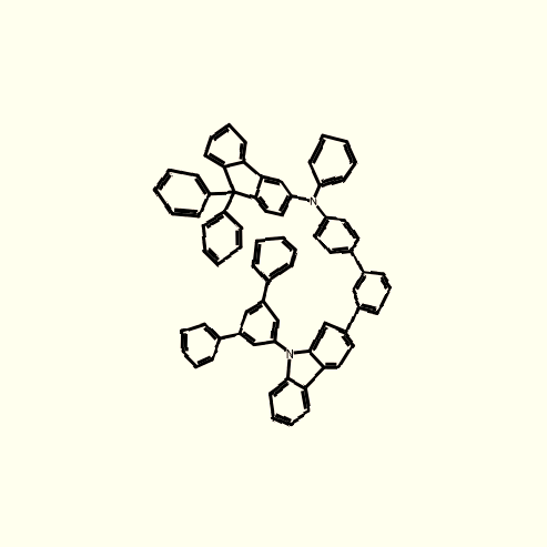 c1ccc(-c2cc(-c3ccccc3)cc(-n3c4ccccc4c4ccc(-c5cccc(-c6ccc(N(c7ccccc7)c7ccc8c(c7)-c7ccccc7C8(c7ccccc7)c7ccccc7)cc6)c5)cc43)c2)cc1